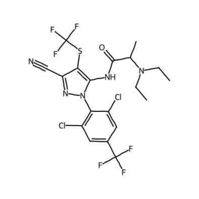 CCN(CC)C(C)C(=O)Nc1c(SC(F)(F)F)c(C#N)nn1-c1c(Cl)cc(C(F)(F)F)cc1Cl